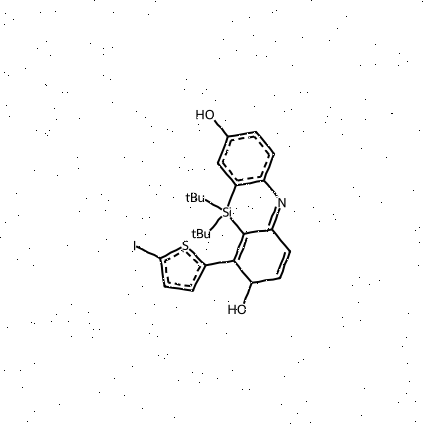 CC(C)(C)[Si]1(C(C)(C)C)C2=C(c3ccc(I)s3)C(O)C=CC2=Nc2ccc(O)cc21